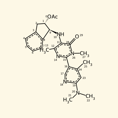 CC(=O)O[C@H]1Cc2ccccc2[C@@H]1Nc1c(C)nc(-c2cnc(N(C)C)cc2C)n(C)c1=O